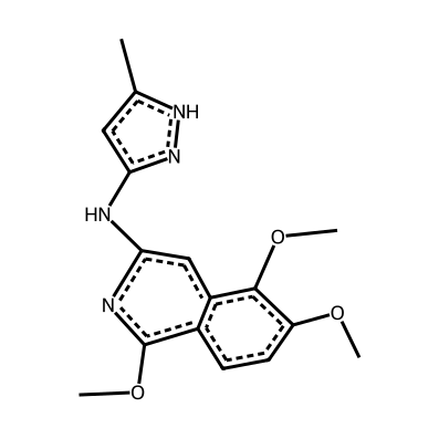 COc1ccc2c(OC)nc(Nc3cc(C)[nH]n3)cc2c1OC